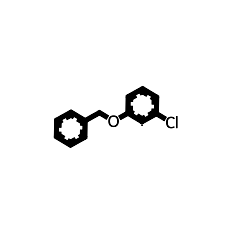 Clc1[c]c(OCc2ccccc2)ccc1